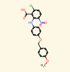 COc1ccc(COc2ccc(Nc3c([N+](=O)[O-])ccc(Cl)c3C(=O)O)cc2)cc1